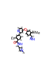 CCc1cc(-c2cc(Oc3ccc(C=N)c(NC)c3)ccn2)ccc1C(=O)NCC1CN(C)C1